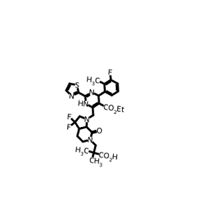 CCOC(=O)C1=C(CN2CC(F)(F)C3CCN(CC(C)(C)C(=O)O)C(=O)C32)NC(c2nccs2)=NC1c1cccc(F)c1C